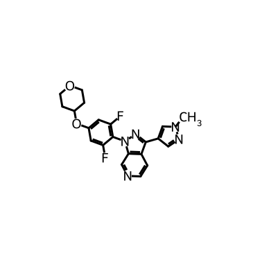 Cn1cc(-c2nn(-c3c(F)cc(OC4CCOCC4)cc3F)c3cnccc23)cn1